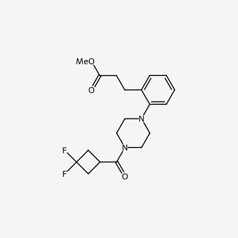 COC(=O)CCc1ccccc1N1CCN(C(=O)C2CC(F)(F)C2)CC1